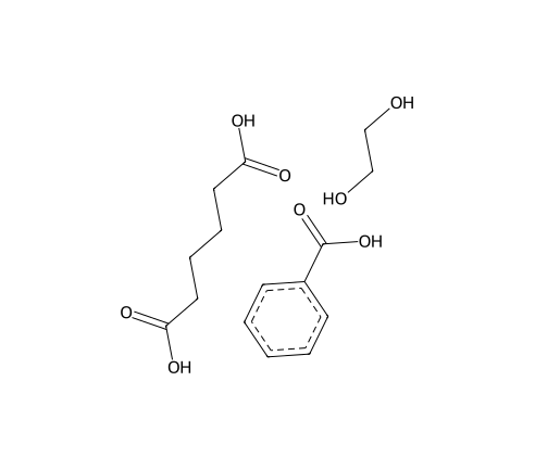 O=C(O)CCCCC(=O)O.O=C(O)c1ccccc1.OCCO